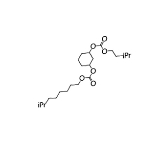 CC(C)CCCCCCOC(=O)OC1CCCC(OC(=O)OCCC(C)C)C1